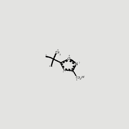 CC(C)(c1nc(C(=O)O)no1)C(F)(F)F